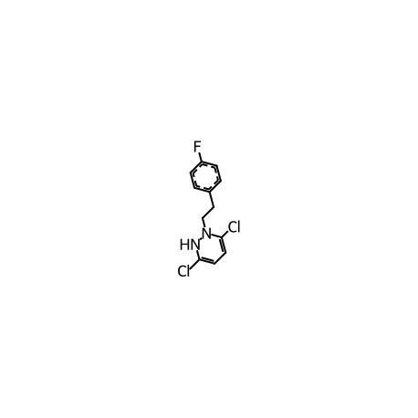 Fc1ccc(CCN2NC(Cl)=CC=C2Cl)cc1